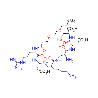 CNCCOCCOCCC(=O)NC(CCCNC(=N)N)C(=O)N[C@@H](CC(=O)O)C(=O)NC(CCCCN)C(=O)NC[C@H](N)C(O)N[C@@H](CC(=O)O)C(=O)N[C@@H](CS)C(=O)O